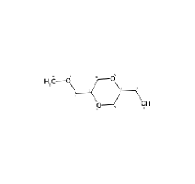 COCC1COC(CO)CO1